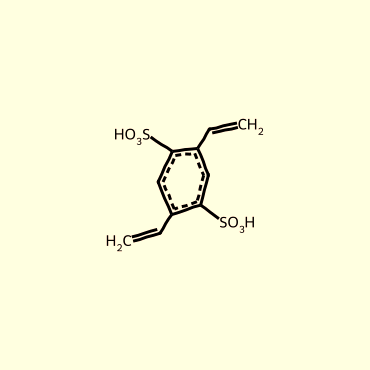 C=Cc1cc(S(=O)(=O)O)c(C=C)cc1S(=O)(=O)O